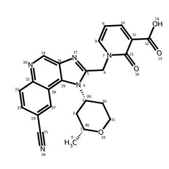 C[C@@H]1C[C@H](n2c(Cn3cccc(C(=O)O)c3=O)nc3cnc4ccc(C#N)cc4c32)CCO1